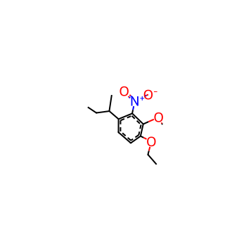 CCOc1ccc(C(C)CC)c([N+](=O)[O-])c1OC